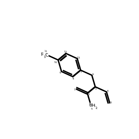 BC(=C)C(C=C)Cc1ccc(C(F)(F)F)cc1